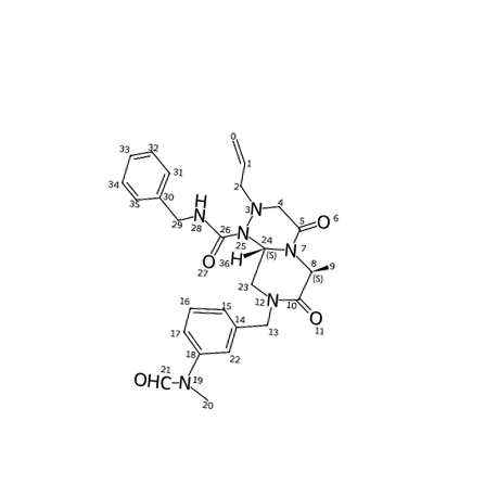 C=CCN1CC(=O)N2[C@@H](C)C(=O)N(Cc3cccc(N(C)C=O)c3)C[C@@H]2N1C(=O)NCc1ccccc1